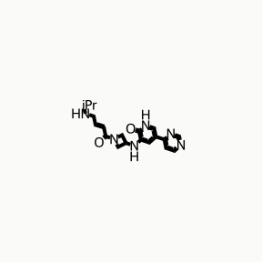 CC(C)NC/C=C/C(=O)N1CC(Nc2cc(-c3ccncn3)c[nH]c2=O)C1